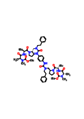 C[C@@H](C(=O)N[C@H](C(=O)N1CCC[C@H]1CN(CCc1ccccc1)C(=O)Nc1ccc(NC(=O)N(CCc2ccccc2)C[C@@H]2CCCN2C(=O)[C@@H](NC(=O)[C@H](C)N(C)C(=O)OC(C)(C)C)C(C)(C)C)cc1)C(C)(C)C)N(C)C(=O)OC(C)(C)C